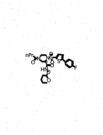 CCCC(=O)N1CCN(S(=O)(=O)c2ccc(-c3ccc(F)cc3)s2)[C@@H](C(=O)NOC2CCCCO2)C1